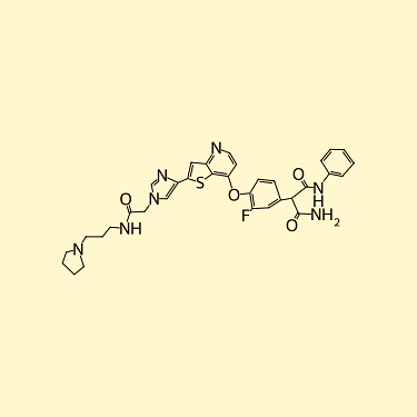 NC(=O)C(C(=O)Nc1ccccc1)c1ccc(Oc2ccnc3cc(-c4cn(CC(=O)NCCCN5CCCC5)cn4)sc23)c(F)c1